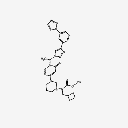 CC(n1cc(-c2cncc(-n3cccn3)c2)nn1)n1ccc(N2CCC[C@@H](N(CC3CCC3)C(=O)OC(C)(C)C)C2)cc1=O